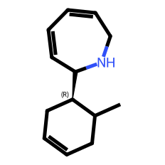 CC1CC=CC[C@H]1C1C=CC=CCN1